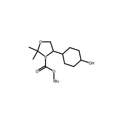 CC(C)(C)OC(=O)N1C(C2CCC(O)CC2)COC1(C)C